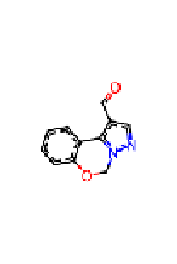 O=Cc1cnn2c1-c1ccccc1OC2